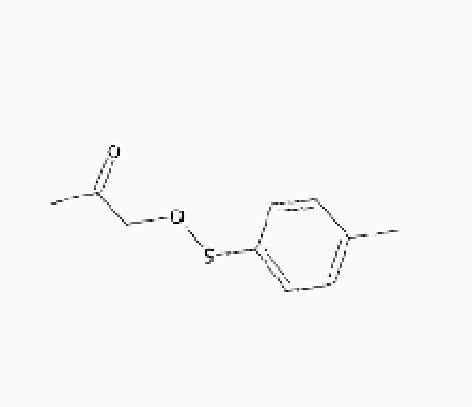 CC(=O)COSc1ccc(C)cc1